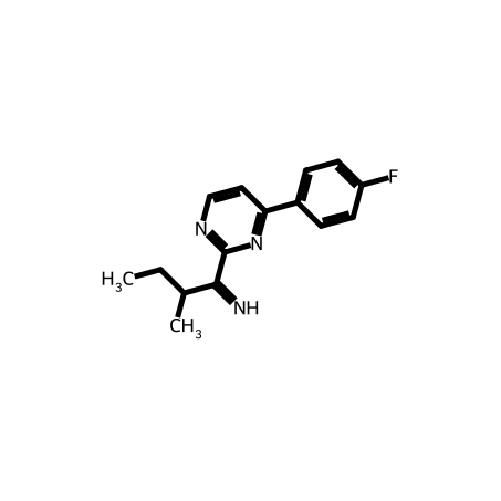 CCC(C)C(=N)c1nccc(-c2ccc(F)cc2)n1